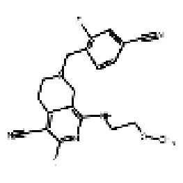 COCCNc1nc(Cl)c(C#N)c2c1CN(Cc1ccc(C#N)cc1F)CC2